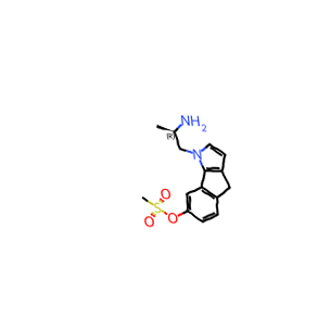 C[C@@H](N)Cn1ccc2c1-c1cc(OS(C)(=O)=O)ccc1C2